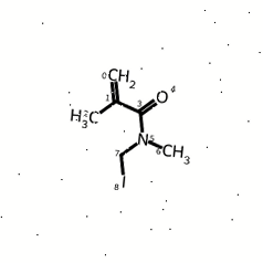 C=C(C)C(=O)N(C)CI